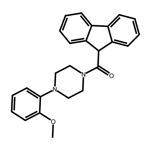 COc1ccccc1N1CCN(C(=O)C2c3ccccc3-c3ccccc32)CC1